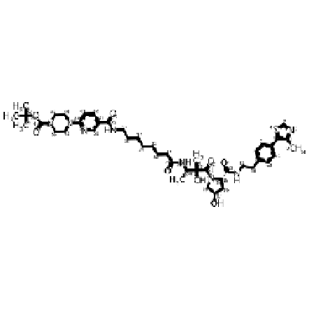 Cc1ncsc1-c1ccc(CCNC(=O)[C@@H]2C[C@@H](O)CN2C(=O)C(C)(C)[C@H](C)NC(=O)CCCCCCCNC(=O)c2ccc(N3CCN(C(=O)OC(C)(C)C)CC3)nc2)cc1